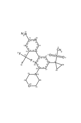 CS(=O)(=O)C1(c2cc(-c3cnc(N)cc3C(F)(F)F)nc(N3CCOCC3)c2)CC1